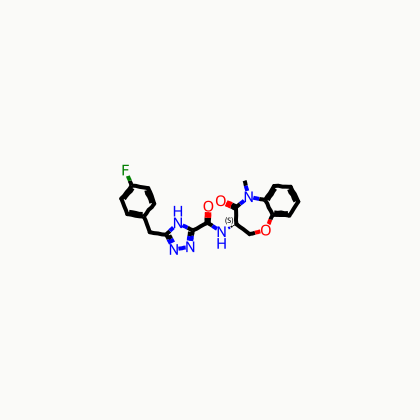 CN1C(=O)[C@@H](NC(=O)c2nnc(Cc3ccc(F)cc3)[nH]2)COc2ccccc21